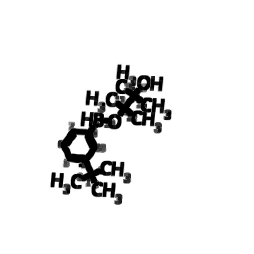 CC(C)(C)c1cccc(BOC(C)(C)C(C)(C)O)c1